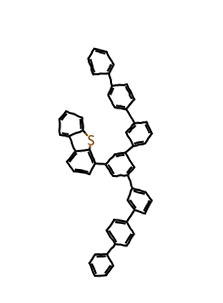 c1ccc(-c2ccc(-c3cccc(-c4cc(-c5cccc(-c6ccc(-c7ccccc7)cc6)c5)cc(-c5cccc6c5sc5ccccc56)c4)c3)cc2)cc1